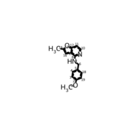 COc1ccc(CNc2nccc3oc(C)cc23)cc1